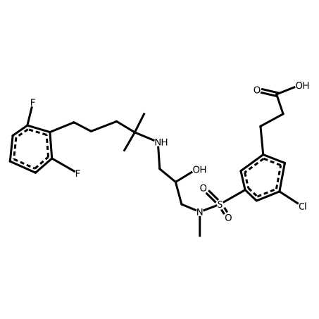 CN(CC(O)CNC(C)(C)CCCc1c(F)cccc1F)S(=O)(=O)c1cc(Cl)cc(CCC(=O)O)c1